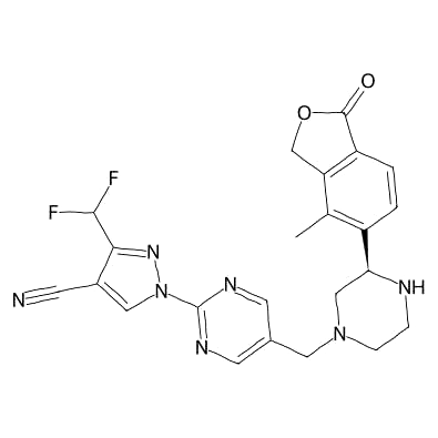 Cc1c([C@@H]2CN(Cc3cnc(-n4cc(C#N)c(C(F)F)n4)nc3)CCN2)ccc2c1COC2=O